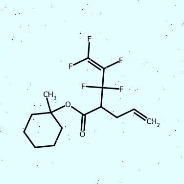 C=CCC(C(=O)OC1(C)CCCCC1)C(F)(F)C(F)=C(F)F